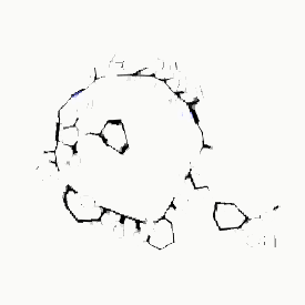 CO[C@H]1C[C@@H]2CC[C@@H](C)[C@@](O)(O2)C(=O)C(=O)N2CCCCC2C(=O)O[C@H]([C@H](C)C[C@@H]2CC[C@@H](O)[C@H](OC)C2)CC(=O)C/C=C(\C)[C@@H](O)[C@@H](OC)C(=O)[C@H](C)C[C@H](C)/C=C/C2C=CC1(C)N1C(=O)N(c3ccccc3)C(O)N21